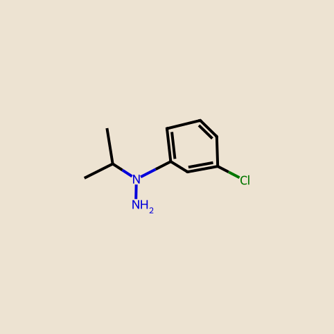 CC(C)N(N)c1cccc(Cl)c1